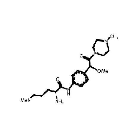 CNCCC[C@H](N)C(=O)Nc1ccc(C(OC)C(=O)N2CCN(C)CC2)cc1